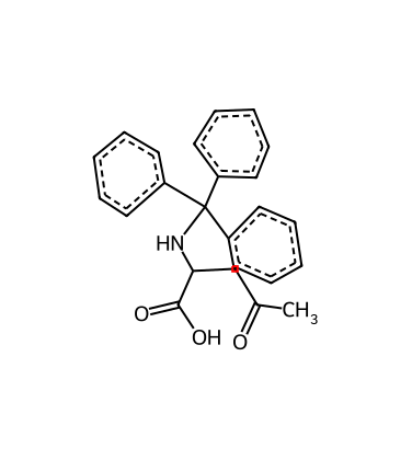 CC(=O)CC(NC(c1ccccc1)(c1ccccc1)c1ccccc1)C(=O)O